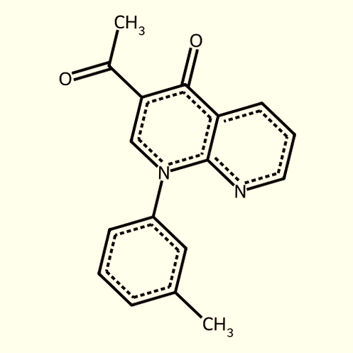 CC(=O)c1cn(-c2cccc(C)c2)c2ncccc2c1=O